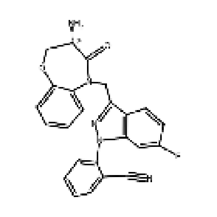 N#Cc1ccccc1-n1nc(CN2C(=O)[C@@H](N)COc3ccccc32)c2ccc(F)cc21